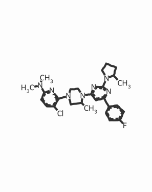 CC1CN(c2nc(N(C)C)ccc2Cl)CCN1c1cc(-c2ccc(F)cc2)nc(N2CCCC2C)n1